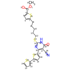 COC(=O)c1ccc(CCCCCSc2nc(-c3ccc(-c4cccs4)s3)c(C#N)c(=O)[nH]2)s1